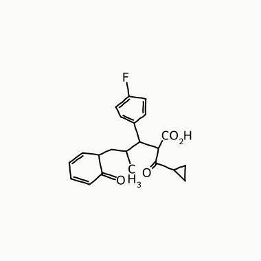 CC(CC1C=CC=CC1=O)C(c1ccc(F)cc1)C(C(=O)O)C(=O)C1CC1